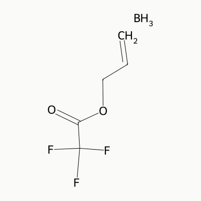 B.C=CCOC(=O)C(F)(F)F